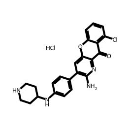 Cl.Nc1nc2c(=O)c3c(Cl)cccc3oc2cc1-c1ccc(NC2CCNCC2)cc1